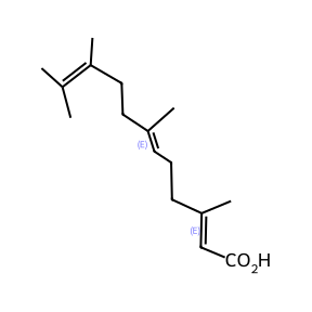 CC(C)=C(C)CC/C(C)=C/CC/C(C)=C/C(=O)O